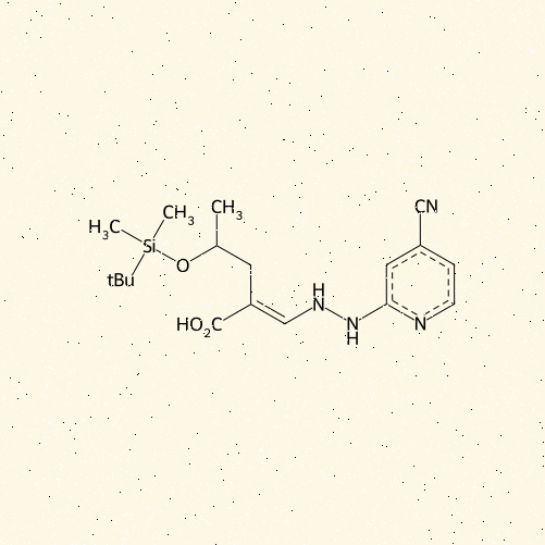 CC(CC(=CNNc1cc(C#N)ccn1)C(=O)O)O[Si](C)(C)C(C)(C)C